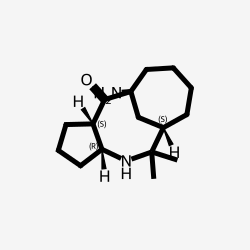 CC1(C)N[C@@H]2CCC[C@@H]2C(=O)C2(N)CCCC[C@H]1C2